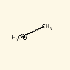 CCCCCCCCCCCC=CC=CC(=O)OCC